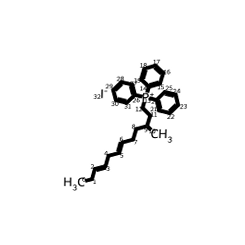 CCC=CCC=CCCC(C)CC[P+](c1ccccc1)(c1ccccc1)c1ccccc1.[I-]